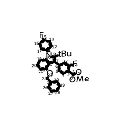 COC(=O)c1ccc(-c2c(C(C)(C)C)n(-c3ccc(F)cc3)c3cccc(OCc4ccccc4)c23)cc1F